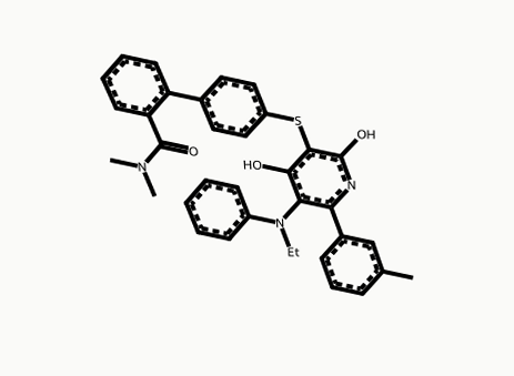 CCN(c1ccccc1)c1c(-c2cccc(C)c2)nc(O)c(Sc2ccc(-c3ccccc3C(=O)N(C)C)cc2)c1O